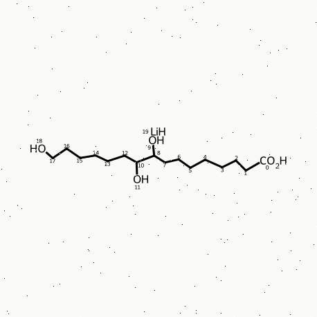 O=C(O)CCCCCCCC(O)C(O)CCCCCCO.[LiH]